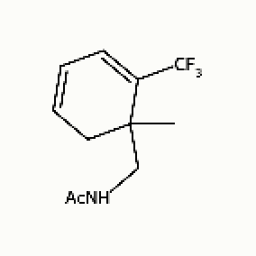 CC(=O)NCC1(C)CC=CC=C1C(F)(F)F